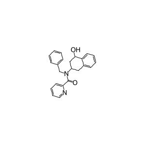 O=C(c1ccccn1)N(Cc1ccccc1)C1Cc2ccccc2C(O)C1